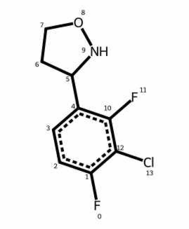 Fc1ccc(C2CCON2)c(F)c1Cl